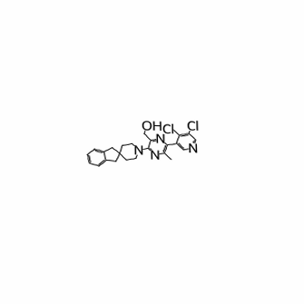 Cc1nc(N2CCC3(CC2)Cc2ccccc2C3)c(CO)nc1-c1cncc(Cl)c1Cl